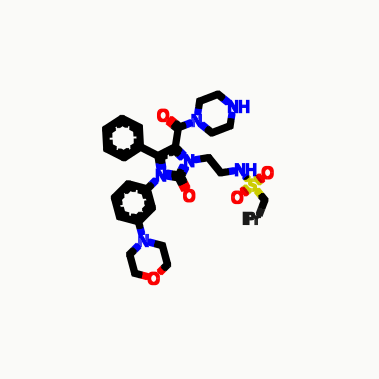 CC(C)CS(=O)(=O)NCCn1c(C(=O)N2CCNCC2)c(-c2ccccc2)n(-c2cccc(N3CCOCC3)c2)c1=O